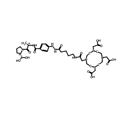 C[C@@H](NC(=O)c1ccc(NNC(=O)CCCCNC(=O)CN2CCN(CC(=O)O)CCN(CC(=O)O)CCN(CC(=O)O)CC2)cc1)C(=O)N1CCC[C@H]1B(O)O